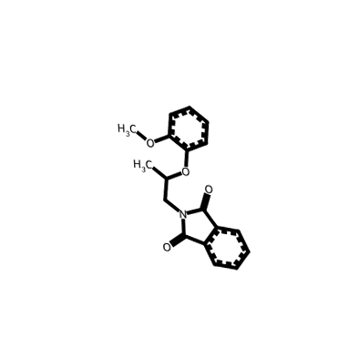 COc1ccccc1OC(C)CN1C(=O)c2ccccc2C1=O